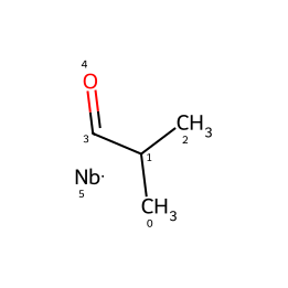 CC(C)C=O.[Nb]